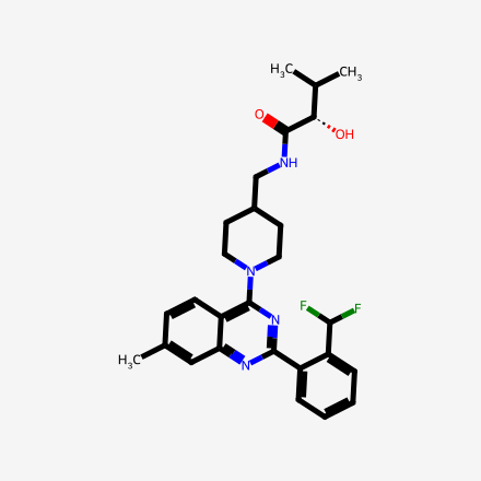 Cc1ccc2c(N3CCC(CNC(=O)[C@@H](O)C(C)C)CC3)nc(-c3ccccc3C(F)F)nc2c1